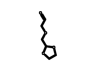 O=CCOCC1OCCO1